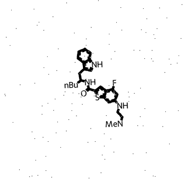 CCCCC(Cc1c[nH]c2ccccc12)NC(=O)c1cc2c(F)cc(NCCNC)cc2s1